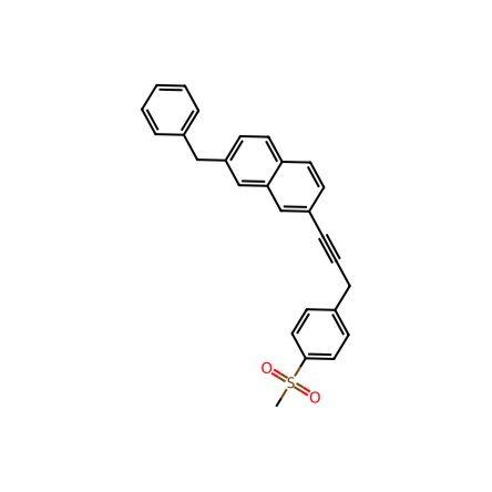 CS(=O)(=O)c1ccc(CC#Cc2ccc3ccc(Cc4ccccc4)cc3c2)cc1